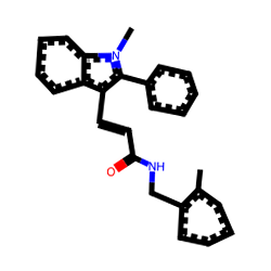 Cc1ccccc1CNC(=O)C=Cc1c(-c2ccccc2)n(C)c2ccccc12